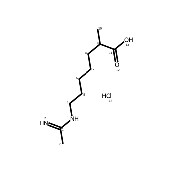 CC(=N)NCCCCCC(C)C(=O)O.Cl